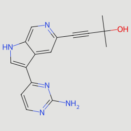 CC(C)(O)C#Cc1cc2c(-c3ccnc(N)n3)c[nH]c2cn1